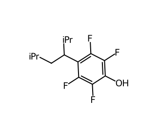 CC(C)CC(c1c(F)c(F)c(O)c(F)c1F)C(C)C